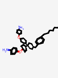 CCCCCCCc1ccc(CC2CCC(c3ccc(Oc4ccc(N)cc4)cc3)(c3ccc(Oc4ccc(N)cc4)cc3)CC2)cc1